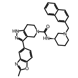 Cc1nc2cc(-c3n[nH]c4c3CN(C(=O)N[C@@H]3CCCN(Cc5ccc6ccccc6c5)C3)CC4)ccc2o1